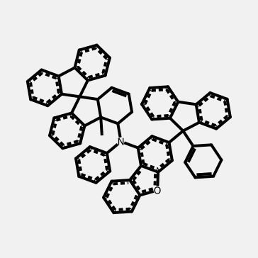 CC12c3ccccc3C3(c4ccccc4-c4ccccc43)C1C=CCC2N(c1ccccc1)c1cc(C2(C3=CC=CCC3)c3ccccc3-c3ccccc32)cc2oc3ccccc3c12